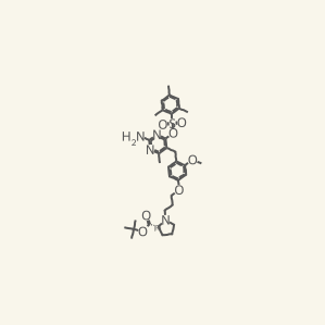 COc1cc(OCCCN2CCC[C@@H]2C(=O)OC(C)(C)C)ccc1Cc1c(C)nc(N)nc1OS(=O)(=O)c1c(C)cc(C)cc1C